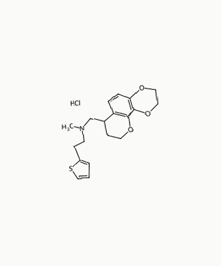 CN(CCc1cccs1)CC1CCOc2c1ccc1c2OCCO1.Cl